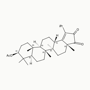 CC(=O)O[C@H]1CC[C@]2(C)[C@H]3CC[C@@H]4C5=C(C(C)C)C(=O)C(=O)[C@]5(C)CC[C@@]4(C)[C@]3(C)CC[C@H]2C1(C)C